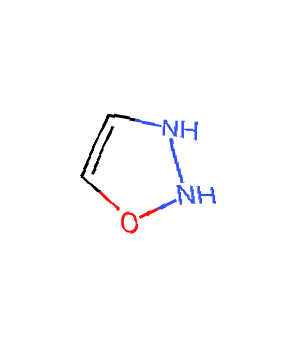 C1=CONN1